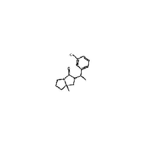 CC(c1cccc(Cl)c1)N1CC2(C)CCCN2C1=O